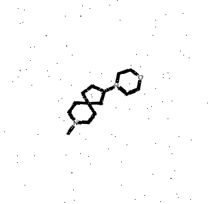 CN1CCC2(CCC(N3CCOCC3)C2)CC1